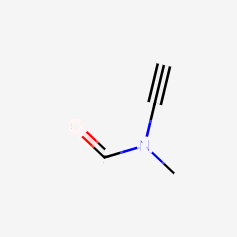 C#CN(C)[C]=O